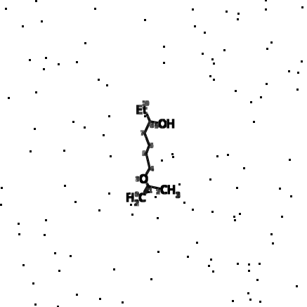 C=C(C)OCCCCC(O)CC